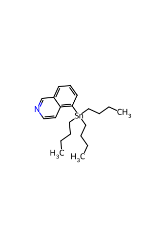 CCC[CH2][Sn]([CH2]CCC)([CH2]CCC)[c]1cccc2cnccc12